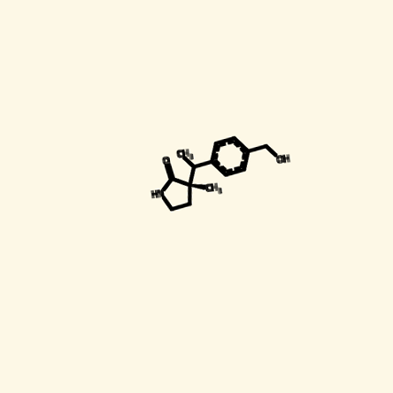 CC(c1ccc(CO)cc1)[C@]1(C)CCNC1=O